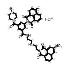 CCN1CCN(C(=O)c2cc(C(=O)NCCNCCN3C(=O)c4cccc5cc([N+](=O)[O-])cc(c45)C3=O)cc(N3C(=O)c4cccc5c(Cl)ccc(c45)C3=O)c2)CC1.Cl